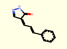 O=C1NN=CC1=CC=Cc1ccccc1